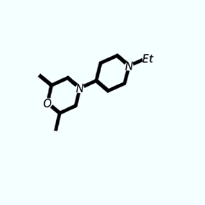 CCN1CCC(N2CC(C)OC(C)C2)CC1